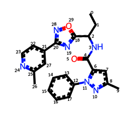 CCC(NC(=O)c1cc(C)nn1-c1ccccc1)c1nc(-c2ccnc(C)c2)no1